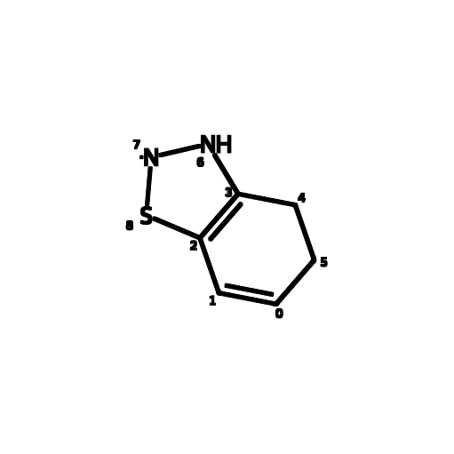 C1=CC2=C(CC1)N[N]S2